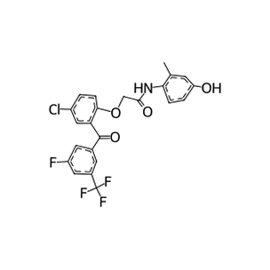 Cc1cc(O)ccc1NC(=O)COc1ccc(Cl)cc1C(=O)c1cc(F)cc(C(F)(F)F)c1